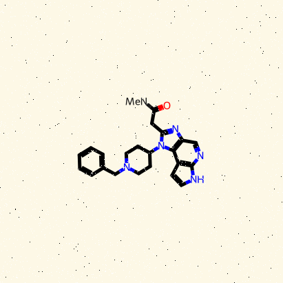 CNC(=O)Cc1nc2cnc3[nH]ccc3c2n1C1CCN(Cc2ccccc2)CC1